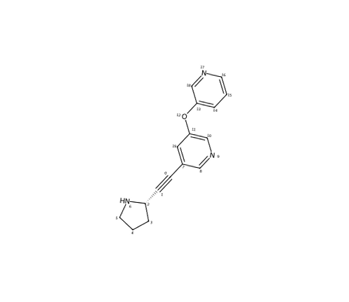 C(#C[C@@H]1CCCN1)c1cncc(Oc2cccnc2)c1